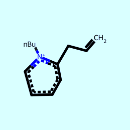 C=CCc1cccc[n+]1CCCC